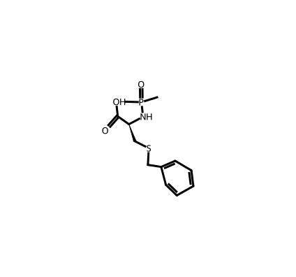 CP(C)(=O)N[C@@H](CSCc1ccccc1)C(=O)O